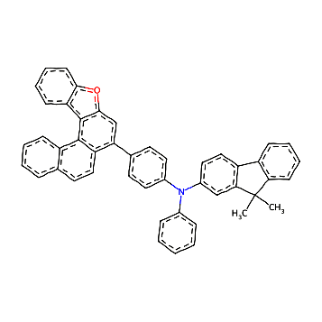 CC1(C)c2ccccc2-c2ccc(N(c3ccccc3)c3ccc(-c4cc5oc6ccccc6c5c5c4ccc4ccccc45)cc3)cc21